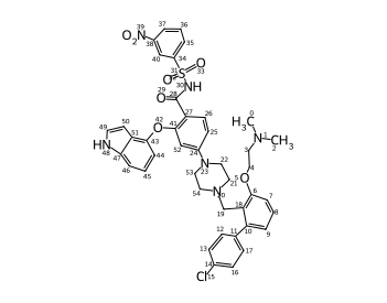 CN(C)CCOc1cccc(-c2ccc(Cl)cc2)c1CN1CCN(c2ccc(C(=O)NS(=O)(=O)c3cccc([N+](=O)[O-])c3)c(Oc3cccc4[nH]ccc34)c2)CC1